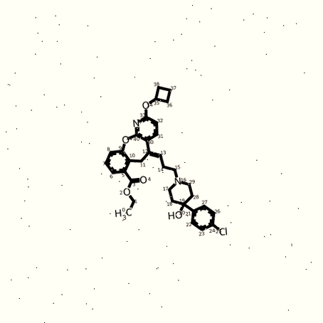 CCOC(=O)c1cccc2c1CC(=CCCN1CCC(O)(c3ccc(Cl)cc3)CC1)c1ccc(OC3CCC3)nc1O2